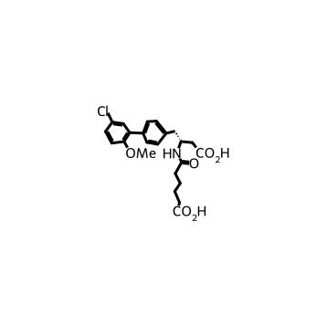 COc1ccc(Cl)cc1-c1ccc(C[C@H](CC(=O)O)NC(=O)CCCCC(=O)O)cc1